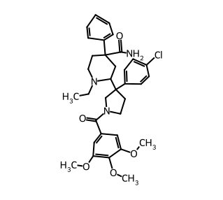 CCN1CCC(C(N)=O)(c2ccccc2)CC1C1(c2ccc(Cl)cc2)CCN(C(=O)c2cc(OC)c(OC)c(OC)c2)C1